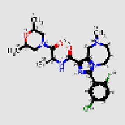 CC1CN(C(=O)[C@@H](NC(=O)c2nc(-c3cc(Cl)ccc3F)n3c2CN(C)CCC3)C(C)(C)C)CC(C)O1